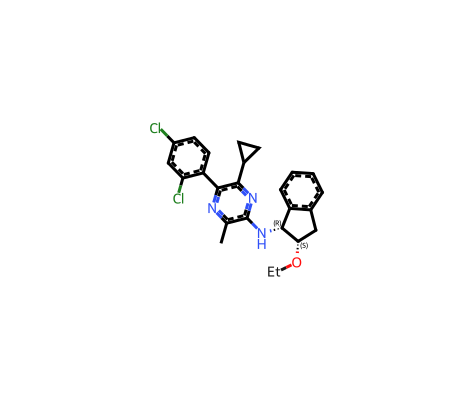 CCO[C@H]1Cc2ccccc2[C@H]1Nc1nc(C2CC2)c(-c2ccc(Cl)cc2Cl)nc1C